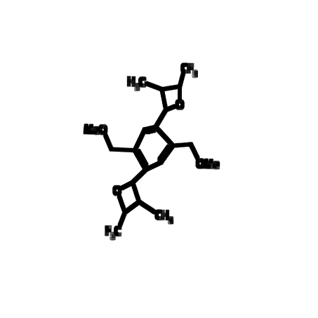 COCc1cc(C2OC(C(F)(F)F)C2C)c(COC)cc1C1OC(C(F)(F)F)C1C